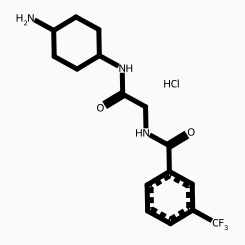 Cl.NC1CCC(NC(=O)CNC(=O)c2cccc(C(F)(F)F)c2)CC1